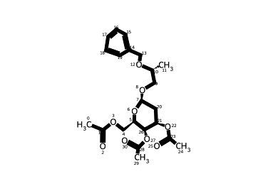 CC(=O)OC[C@H]1O[C@@H](OC[C@@H](C)OCc2ccccc2)C[C@@H](OC(C)=O)[C@H]1OC(C)=O